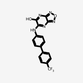 Oc1nc2nonc2nc1Nc1ccc(-c2ccc(C(F)(F)F)cc2)cc1